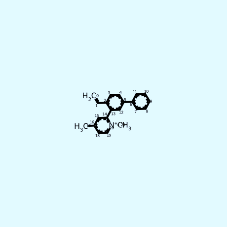 C=Cc1ccc(-c2ccccc2)cc1-c1cc(C)cc[n+]1C